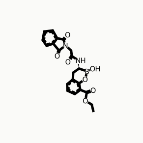 CCOC(=O)c1cccc2c1OB(O)[C@@H](NC(=O)CN1C(=O)c3ccccc3C1=O)C2